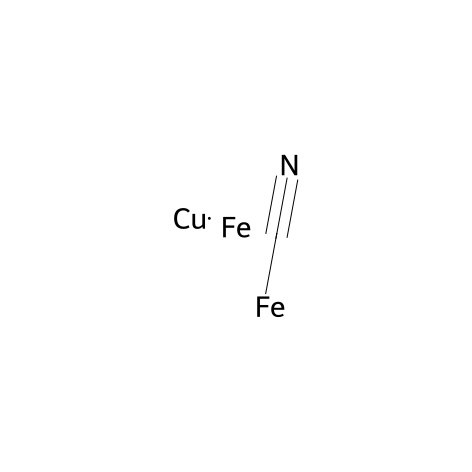 N#[C][Fe].[Cu].[Fe]